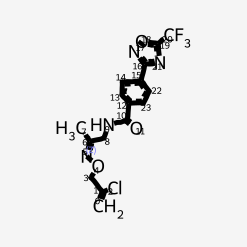 C=C(Cl)CO/N=C(/C)CNC(=O)c1ccc(-c2noc(C(F)(F)F)n2)cc1